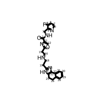 O=C(NCc1ncccc1F)c1coc(CCNCCc2nc3c([nH]2)CCc2ccccc2-3)n1